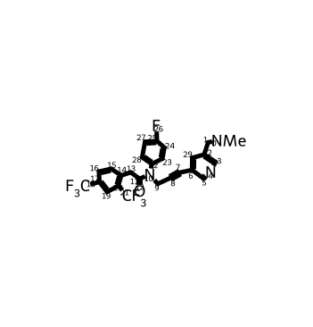 CNCc1cncc(C#CCN(C(=O)Cc2ccc(C(F)(F)F)cc2C(F)(F)F)c2ccc(F)cc2)c1